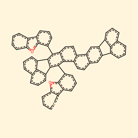 c1cc2c3c(cccc3c1)-c1cc3c(ccc4c3ccc3c(-c5cccc6c5oc5ccccc56)c5c(c(-c6cccc7c6oc6ccccc67)c34)-c3cccc4cccc-5c34)cc1-2